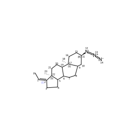 C/C=C1/CCC2C3CCC4C[C@H](N=[N+]=[N-])CC[C@]4(C)C3CC[C@]12C